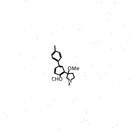 COC1(c2cc(-c3ccc(C)cc3)ccc2C=O)CCN(C)C1